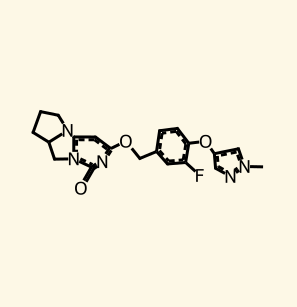 Cn1cc(Oc2ccc(COc3cc4n(c(=O)n3)CC3CCCN43)cc2F)cn1